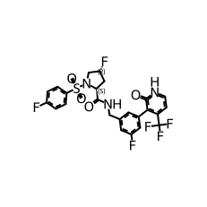 O=C(NCc1cc(F)cc(-c2c(C(F)(F)F)cc[nH]c2=O)c1)[C@@H]1C[C@@H](F)CN1S(=O)(=O)c1ccc(F)cc1